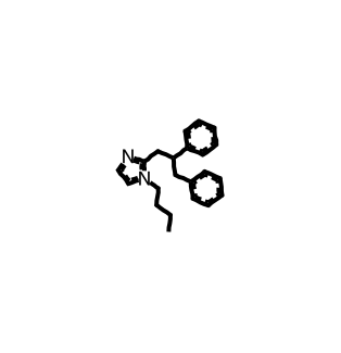 CCCCn1ccnc1CC(Cc1ccccc1)c1ccccc1